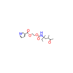 CCC(C)(CC(C)C(C)=O)NC(=O)OCCOC(=O)c1cccnc1